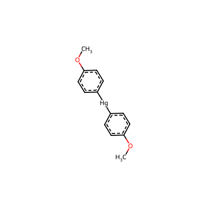 COc1cc[c]([Hg][c]2ccc(OC)cc2)cc1